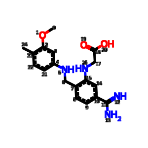 COc1cc(NCc2ccc(C(=N)N)cc2NCC(=O)O)ccc1C